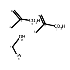 C=C(C)C(=O)O.C=C(C)C(=O)O.CC(C)CO